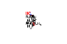 CC[Si](CC)(CC)O[C@]1(C)CC[C@@]2(C)C(CC[C@H]3[C@@H]4CC[C@H](/C(C)=N/O)[C@@]4(C)CC[C@@H]32)C1